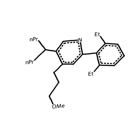 CCCC(CCC)c1cnc(-c2c(CC)cccc2CC)cc1CCCOC